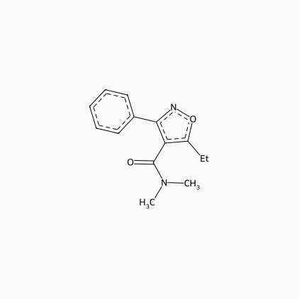 CCc1onc(-c2ccccc2)c1C(=O)N(C)C